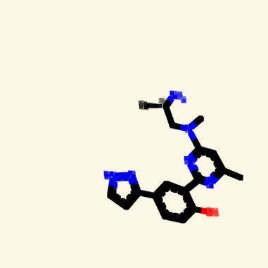 CC[C@H](N)CN(C)c1cc(C)nc(-c2cc(-c3cc[nH]n3)ccc2O)n1